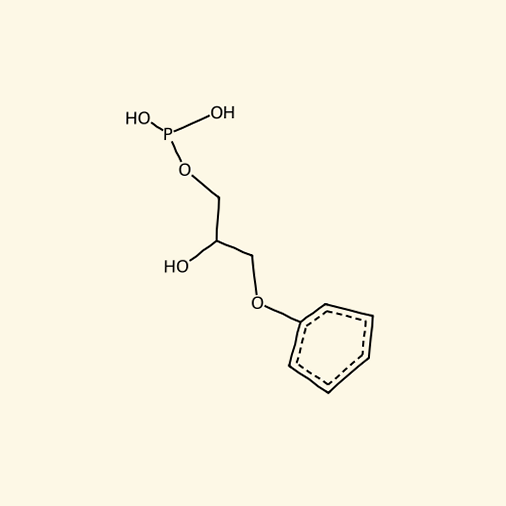 OC(COc1ccccc1)COP(O)O